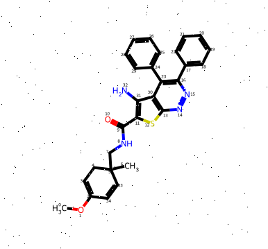 COC1=CCC(C)(CNC(=O)c2sc3nnc(-c4ccccc4)c(-c4ccccc4)c3c2N)C=C1